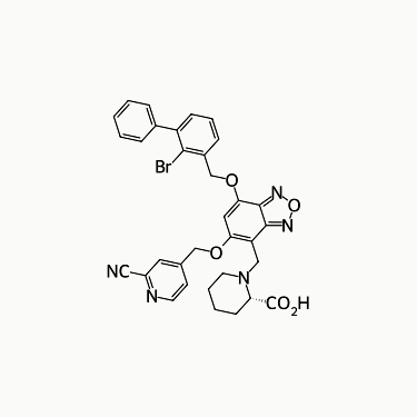 N#Cc1cc(COc2cc(OCc3cccc(-c4ccccc4)c3Br)c3nonc3c2CN2CCCC[C@H]2C(=O)O)ccn1